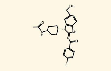 CC(=O)N[C@H]1CC[C@H](n2/c(=N/C(=O)c3ccc(F)cc3)[nH]c3ccc(CO)cc32)CC1